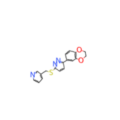 c1cncc(CSc2ccc(-c3ccc4c(c3)OCCO4)nn2)c1